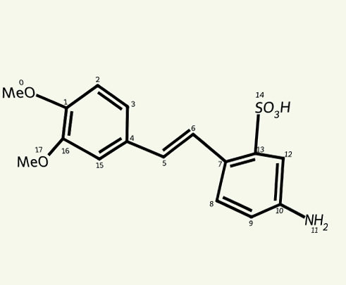 COc1ccc(/C=C/c2ccc(N)cc2S(=O)(=O)O)cc1OC